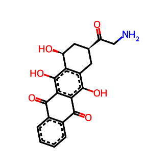 NCC(=O)[C@H]1Cc2c(O)c3c(c(O)c2[C@@H](O)C1)C(=O)c1ccccc1C3=O